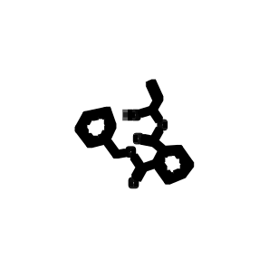 C=CC(O)OC(=O)c1ccccc1C(=O)OCc1ccccc1